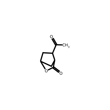 CC(=O)C1CC2CC1C(=O)O2